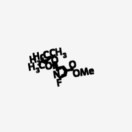 COC(=O)c1cc(F)nc(B2OC(C)(C)C(C)(C)O2)c1